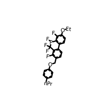 CCCc1ccc(OCc2ccc3c(c2F)C(F)(F)P(F)c2c-3ccc(OCC)c2F)cc1